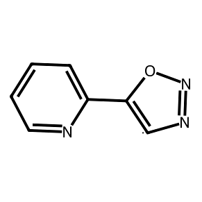 [c]1nnoc1-c1ccccn1